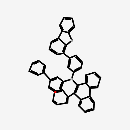 c1ccc(-c2cccc(N(c3cccc(-c4cccc5c4sc4ccccc45)c3)c3c(-c4ccccc4)c4ccccc4c4ccccc34)c2)cc1